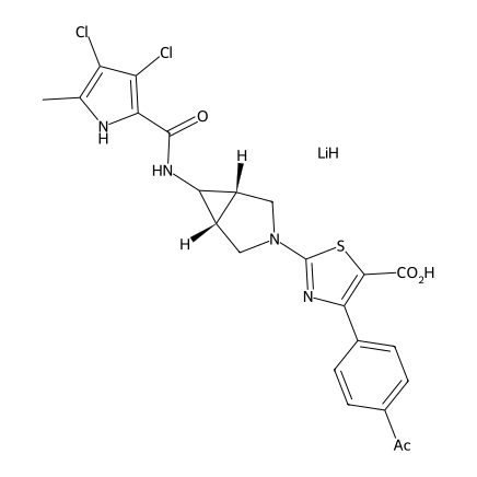 CC(=O)c1ccc(-c2nc(N3C[C@@H]4C(NC(=O)c5[nH]c(C)c(Cl)c5Cl)[C@@H]4C3)sc2C(=O)O)cc1.[LiH]